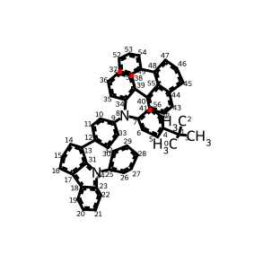 CC(C)(C)c1ccc(N(c2ccc(-c3cccc4c5ccccc5n(-c5ccccc5)c34)cc2)c2ccccc2-c2cccc3cccc(-c4ccccc4)c23)cc1